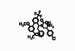 COc1ccc(C(C)C)cc1-c1ccc(C(F)(F)F)cc1C(Cc1ccccc1)N(CC(N)c1ccc(Cl)cc1)C(=O)O